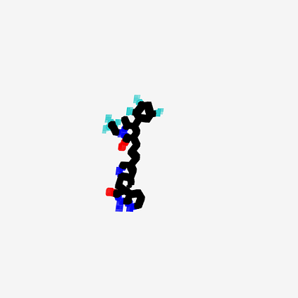 CC1C(c2cc(F)cc(F)c2F)CC(C/C=C/c2cnc3c(c2)C[C@@]2(C3)C(=O)Nc3ncccc32)C(=O)N1CC(F)(F)F